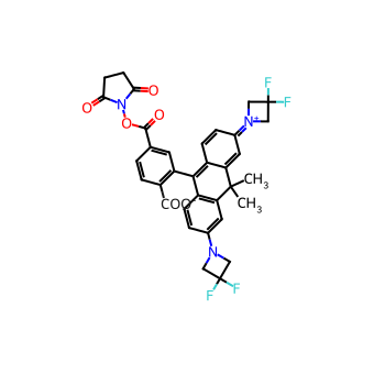 CC1(C)C2=CC(=[N+]3CC(F)(F)C3)C=CC2=C(c2cc(C(=O)ON3C(=O)CCC3=O)ccc2C(=O)[O-])c2ccc(N3CC(F)(F)C3)cc21